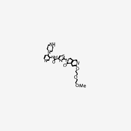 COCCOCCOc1cc2c(cn1)CN(c1nc(C(=O)Nc3cnccc3N3CCNCC3)cs1)C2=O